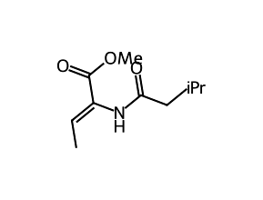 C/C=C(\NC(=O)CC(C)C)C(=O)OC